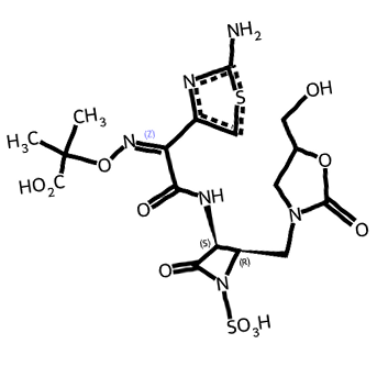 CC(C)(O/N=C(\C(=O)N[C@@H]1C(=O)N(S(=O)(=O)O)[C@@H]1CN1CC(CO)OC1=O)c1csc(N)n1)C(=O)O